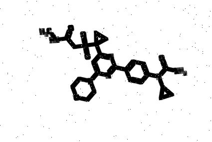 CNC(=O)CS(=O)(=O)C1(c2cc(N3CCOCC3)nc(-c3ccc(N(C(N)=O)C4CC4)cc3)n2)CC1